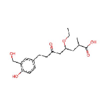 CCOC(CC(=O)CCc1ccc(O)c(CO)c1)CC(C)C(=O)O